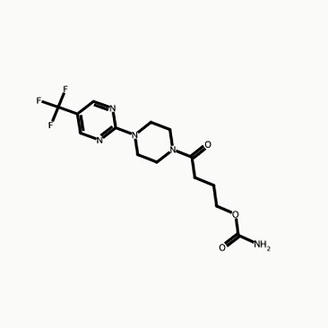 NC(=O)OCCCC(=O)N1CCN(c2ncc(C(F)(F)F)cn2)CC1